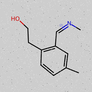 C/N=C\c1cc(C)ccc1CCO